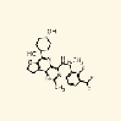 Cc1nc(N[C@H](C)c2cccc(C(F)F)c2F)c2nc([C@]3(O)CC[C@@H](O)CC3)c3c(c2n1)CCO3